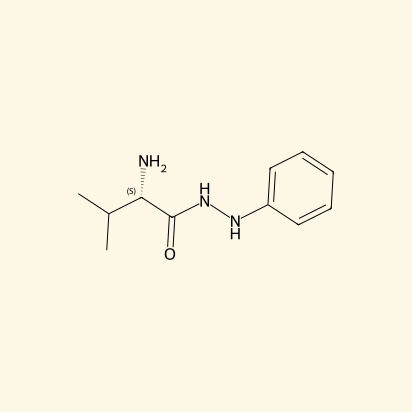 CC(C)[C@H](N)C(=O)NNc1ccccc1